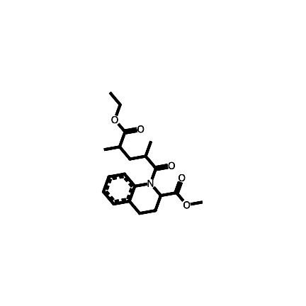 CCOC(=O)C(C)CC(C)C(=O)N1c2ccccc2CCC1C(=O)OC